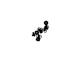 Cc1oc(-c2ccccc2)cc1C(=O)N[C@H]1CCN([C@H]2CC[C@@H](N(C)C(C)C)C[C@@H]2CS(=O)(=O)c2ccccc2)C1=O